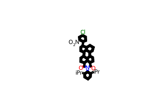 CC(C)c1cccc(C(C)C)c1N1C(=O)c2ccc3c4cccc5c(-c6ccc(Cl)cc6[N+](=O)[O-])ccc(c6ccc(c2c36)C1=O)c54